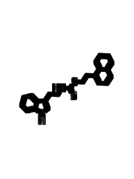 S=C(NCCc1c[nH]c2ccccc12)SCCc1cccc2ccccc12